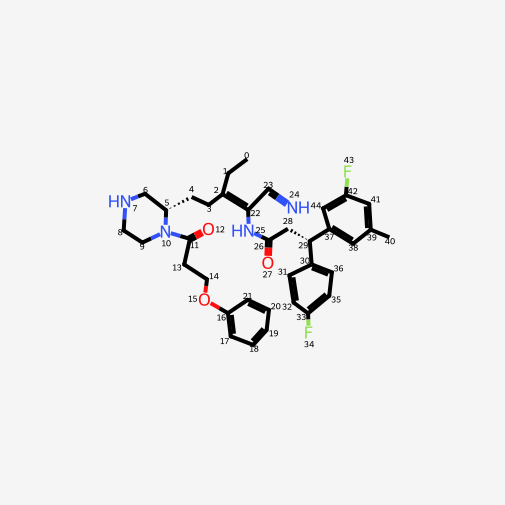 CC/C(CC[C@H]1CNCCN1C(=O)CCOc1ccccc1)=C(\C=N)NC(=O)C[C@@H](c1ccc(F)cc1)c1cc(C)cc(F)c1